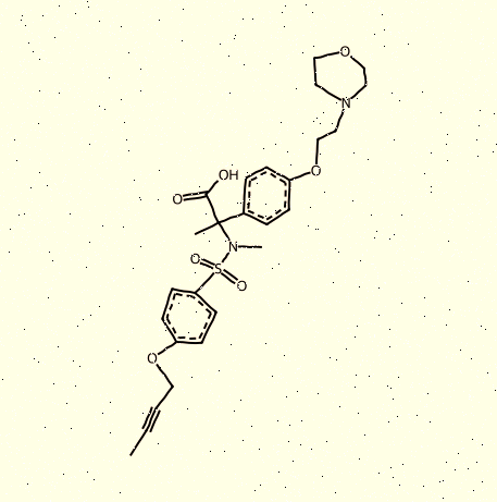 CC#CCOc1ccc(S(=O)(=O)N(C)C(C)(C(=O)O)c2ccc(OCCN3CCOCC3)cc2)cc1